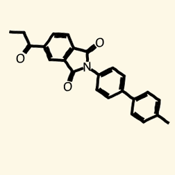 CCC(=O)c1ccc2c(c1)C(=O)N(c1ccc(-c3ccc(C)cc3)cc1)C2=O